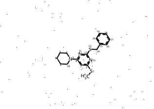 CSc1cc(N2CCCCC2)nc(SCc2ccccc2)n1